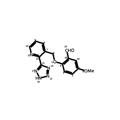 COc1ccc(OCc2cccnc2-c2nn[nH]n2)c(C=O)c1